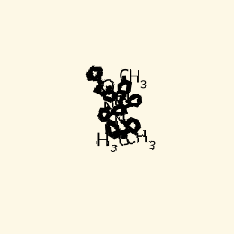 Cc1ccc(N2B3c4cc5oc(-c6ccccc6)cc5cc4-n4c5ccccc5c5c(N6c7ccccc7C(C)(C)c7ccccc76)cc(c3c54)-c3ccccc32)cc1